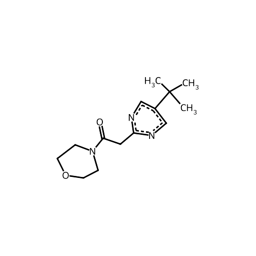 CC(C)(C)c1cnc(CC(=O)N2CCOCC2)nc1